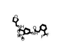 O=C(Cc1ccccc1C(F)F)Nc1ccc(C(=O)NCC2CCOC2)c([SH](=O)=O)c1